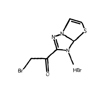 Br.CN1C(C(=O)CBr)=NN2C=CSC21